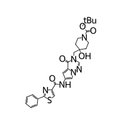 CC(C)(C)OC(=O)N1CCC(O)(Cn2cnn3cc(NC(=O)c4csc(-c5ccccc5)n4)cc3c2=O)CC1